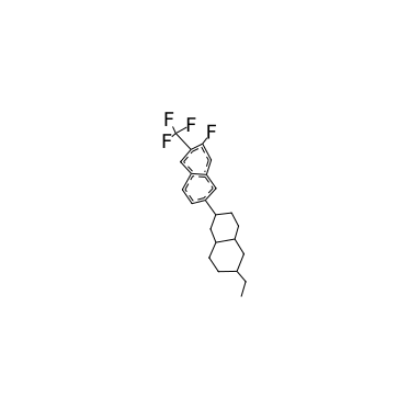 CCC1CCC2CC(c3ccc4cc(C(F)(F)F)c(F)cc4c3)CCC2C1